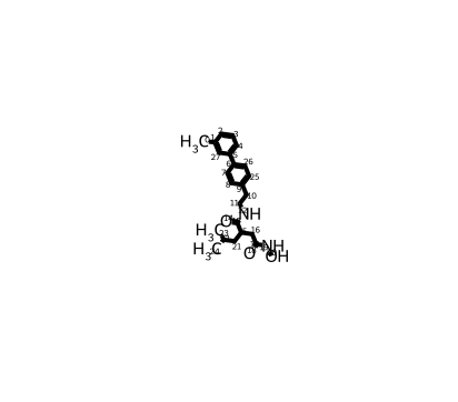 Cc1cccc(-c2ccc(CCNC(=O)C(CC(=O)NO)CC(C)C)cc2)c1